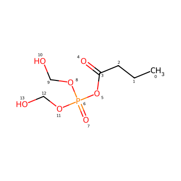 CCCC(=O)OP(=O)(OCO)OCO